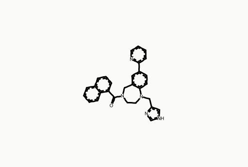 O=C(c1cccc2ccccc12)N1CCN(Cc2c[nH]cn2)c2ccc(-c3ccccn3)cc2C1